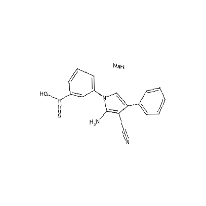 N#Cc1c(-c2ccccc2)cn(-c2cccc(C(=O)O)c2)c1N.[NaH]